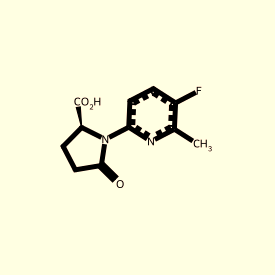 Cc1nc(N2C(=O)CC[C@H]2C(=O)O)ccc1F